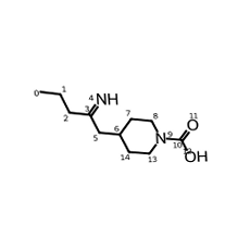 CCCC(=N)CC1CCN(C(=O)O)CC1